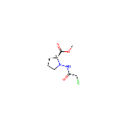 COC(=O)[C@@H]1CCCN1NC(=O)CCl